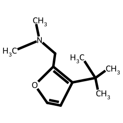 CN(C)Cc1occc1C(C)(C)C